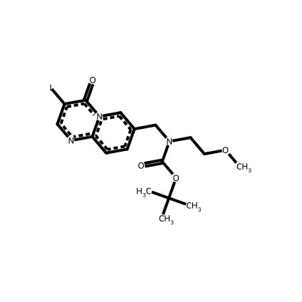 COCCN(Cc1ccc2ncc(I)c(=O)n2c1)C(=O)OC(C)(C)C